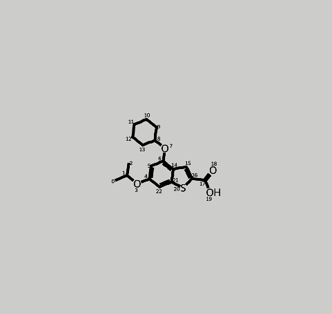 CC(C)Oc1cc(OC2CCCCC2)c2cc(C(=O)O)sc2c1